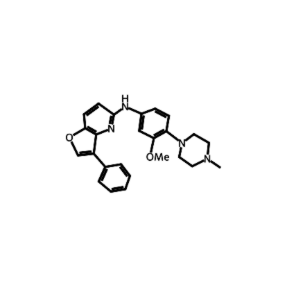 COc1cc(Nc2ccc3occ(-c4ccccc4)c3n2)ccc1N1CCN(C)CC1